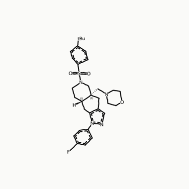 CC(C)(C)c1ccc(S(=O)(=O)N2CC[C@H]3Cc4c(cnn4-c4ccc(F)cc4)C[C@]3(CN3CCOCC3)C2)cc1